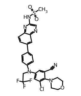 CS(=O)(=O)Nc1cnc2cc(-c3ccc(N(CC(F)(F)F)c4cc(Cl)c(N5CCOCC5)c(C#N)c4)cc3)ccc2n1